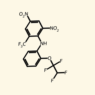 O=[N+]([O-])c1cc([N+](=O)[O-])c(Nc2ccccc2OC(F)(F)C(F)F)c(C(F)(F)F)c1